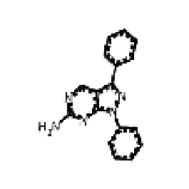 Nc1ncc2c(-c3ccccc3)nn(-c3ccccc3)c2n1